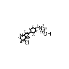 O[C@H]1CCN(Cc2ccc(-c3cc4nccc(Cl)c4s3)cc2)C1